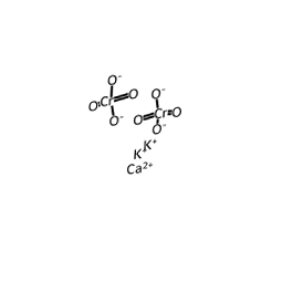 [Ca+2].[K+].[K+].[O]=[Cr](=[O])([O-])[O-].[O]=[Cr](=[O])([O-])[O-]